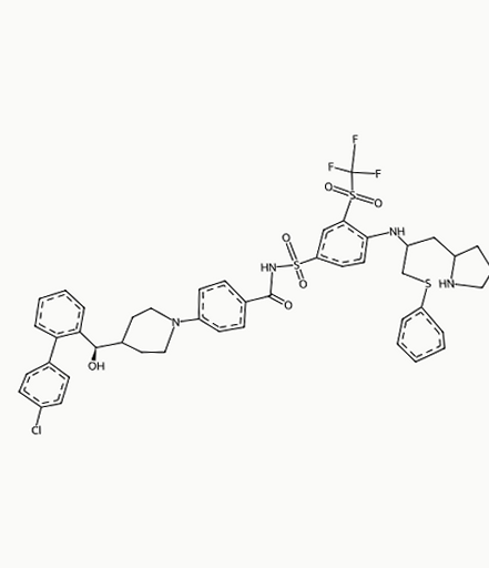 O=C(NS(=O)(=O)c1ccc(NC(CSc2ccccc2)CC2CCCN2)c(S(=O)(=O)C(F)(F)F)c1)c1ccc(N2CCC([C@@H](O)c3ccccc3-c3ccc(Cl)cc3)CC2)cc1